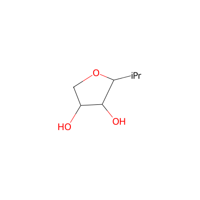 CC(C)C1OCC(O)C1O